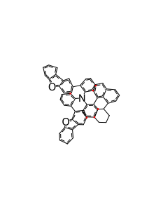 c1ccc(N(c2ccccc2-c2cccc3c2oc2ccccc23)c2ccccc2-c2cccc3cccc(C4CCCCC4)c23)c(-c2ccc3oc4ccccc4c3c2)c1